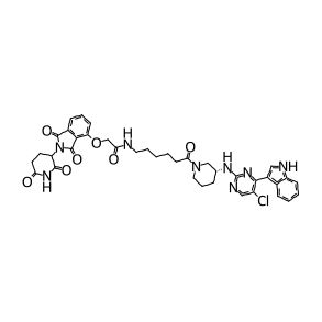 O=C(COc1cccc2c1C(=O)N(C1CCC(=O)NC1=O)C2=O)NCCCCCC(=O)N1CCC[C@@H](Nc2ncc(Cl)c(-c3c[nH]c4ccccc34)n2)C1